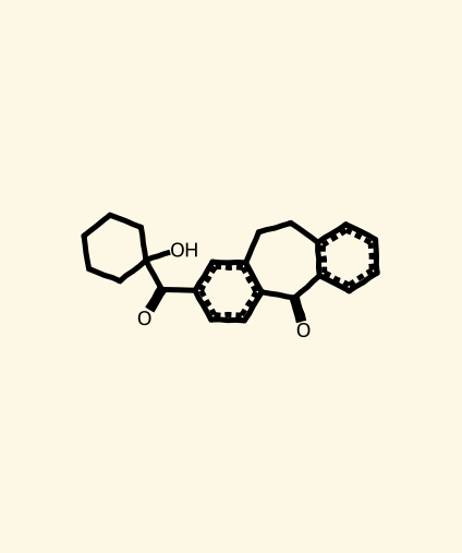 O=C1c2ccccc2CCc2cc(C(=O)C3(O)CCCCC3)ccc21